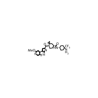 COc1cc(-c2cc(C(=O)N3CC[C@H](C(=O)N[C@H]4CC[C@@](N)(C(F)(F)F)CC4)CC34CC4)n[nH]2)c(F)cn1